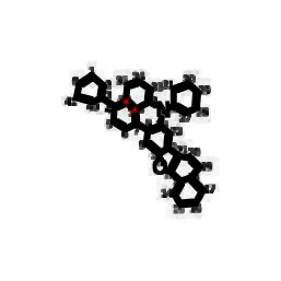 c1ccc(-c2ccc(-c3cc4oc5c6ccccc6ccc5c4cc3N(c3ccccc3)c3ccccc3)cc2)cc1